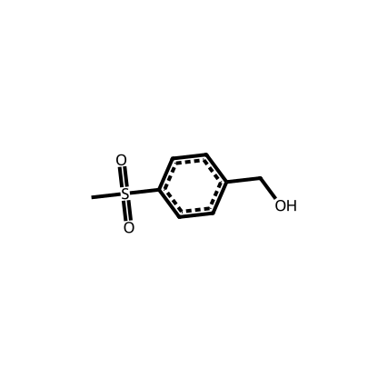 CS(=O)(=O)c1ccc(CO)cc1